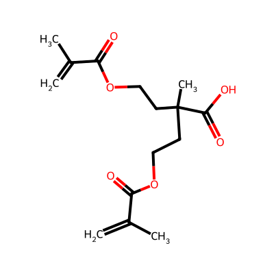 C=C(C)C(=O)OCCC(C)(CCOC(=O)C(=C)C)C(=O)O